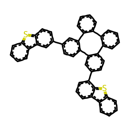 c1ccc2c(c1)-c1ccccc1-c1cc(-c3ccc4sc5ccccc5c4c3)ccc1-c1cc(-c3cccc4c3sc3ccccc34)ccc1-2